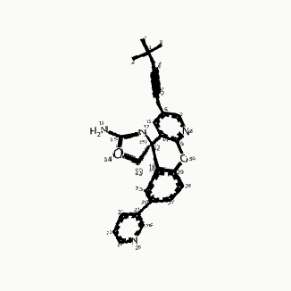 CC(C)(C)C#Cc1cnc2c(c1)[C@]1(COC(N)=N1)c1cc(-c3cccnc3)ccc1O2